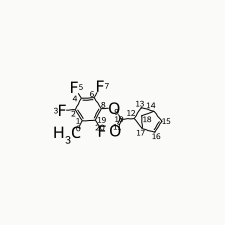 Cc1c(F)c(F)c(F)c(OC(=O)C2CC3C=CC2C3)c1F